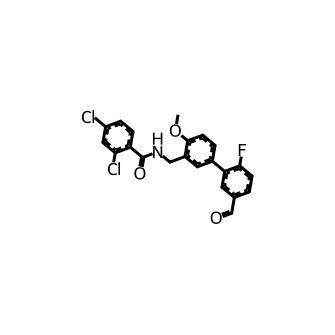 COc1ccc(-c2cc(C=O)ccc2F)cc1CNC(=O)c1ccc(Cl)cc1Cl